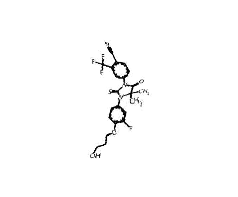 CC1(C)C(=O)N(c2ccc(C#N)c(C(F)(F)F)c2)C(=S)N1c1ccc(OCCCO)c(F)c1